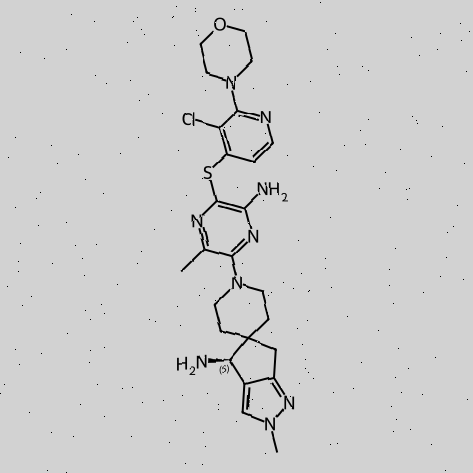 Cc1nc(Sc2ccnc(N3CCOCC3)c2Cl)c(N)nc1N1CCC2(CC1)Cc1nn(C)cc1[C@H]2N